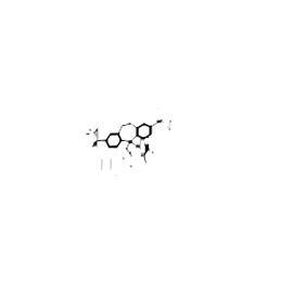 Cc1nnc(C2(CCN)c3ccc(C(=O)N(C)C)cc3CCc3cc(C(=O)N(C)C)ccc32)o1